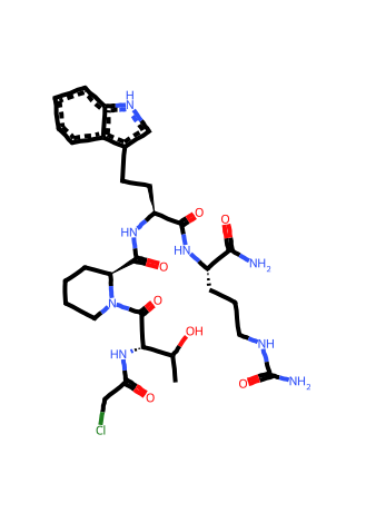 CC(O)[C@H](NC(=O)CCl)C(=O)N1CCCC[C@H]1C(=O)N[C@@H](CCc1c[nH]c2ccccc12)C(=O)N[C@@H](CCCNC(N)=O)C(N)=O